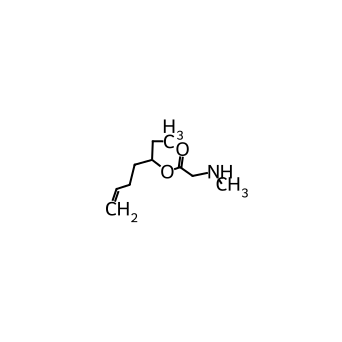 C=CCCC(CC)OC(=O)CNC